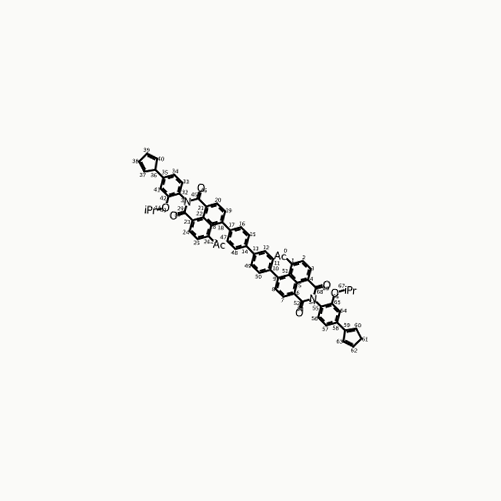 CC(=O)c1ccc2c3c(ccc(-c4ccc(-c5ccc(-c6ccc7c8c(ccc(C(C)=O)c68)C(=O)N(c6ccc(C8C=CC=C8)cc6OC(C)C)C7=O)cc5)cc4)c13)C(=O)N(c1ccc(C3=CCC=C3)cc1OC(C)C)C2=O